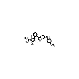 Cc1ccc(Nc2cnc3c(-c4ccccc4C4(C)C=C(C#N)N(C(C)O)N4)cnn3c2)nn1